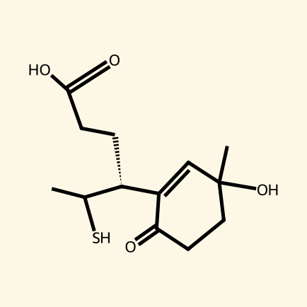 CC(S)[C@H](CCC(=O)O)C1=CC(C)(O)CCC1=O